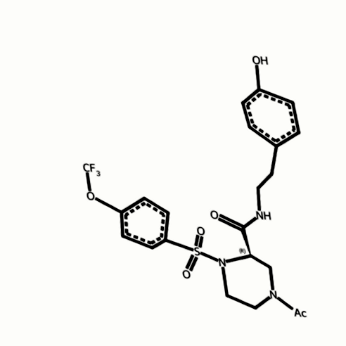 CC(=O)N1CCN(S(=O)(=O)c2ccc(OC(F)(F)F)cc2)[C@@H](C(=O)NCCc2ccc(O)cc2)C1